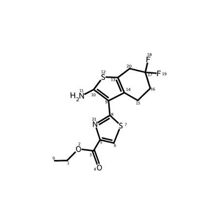 CCOC(=O)c1csc(-c2c(N)sc3c2CCC(F)(F)C3)n1